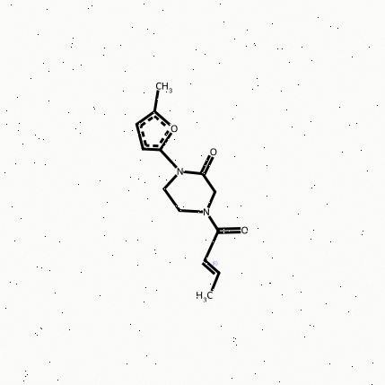 C/C=C/C(=O)N1CCN(c2ccc(C)o2)C(=O)C1